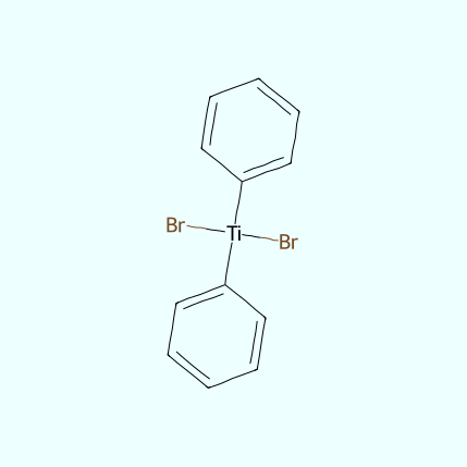 [Br][Ti]([Br])([c]1ccccc1)[c]1ccccc1